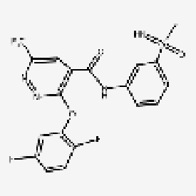 CS(=N)(=O)c1cccc(NC(=O)c2cc(C(F)(F)F)nnc2Oc2cc(F)ccc2F)c1